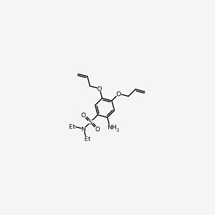 C=CCOc1cc(N)c(S(=O)(=O)N(CC)CC)cc1OCC=C